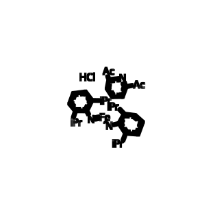 CC(=O)c1cccc(C(C)=O)n1.CC(C)c1cccc(C(C)C)c1[N]=[Fe]=[N]c1c(C(C)C)cccc1C(C)C.Cl